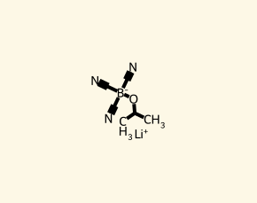 CC(C)O[B-](C#N)(C#N)C#N.[Li+]